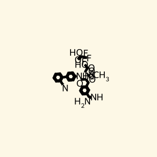 CS(=O)(=O)N(CC(=O)O)C(Cc1cccc(C(=N)N)c1)C(=O)Nc1ccc(-c2ccccc2C#N)cc1.O=C(O)C(F)(F)F